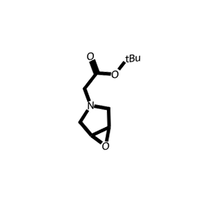 CC(C)(C)OC(=O)CN1CC2OC2C1